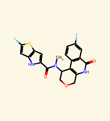 CN(C(=O)c1cc2sc(F)cc2[nH]1)C1COCc2[nH]c(=O)c3cc(F)ccc3c21